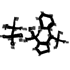 FC(F)(F)c1sccc1[S+](c1ccccc1)C(F)(F)F.O=S(=O)([O-])C(F)(F)F